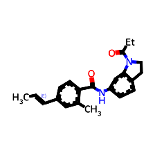 C/C=C/c1ccc(C(=O)Nc2ccc3c(c2)N(C(=O)CC)CC3)c(C)c1